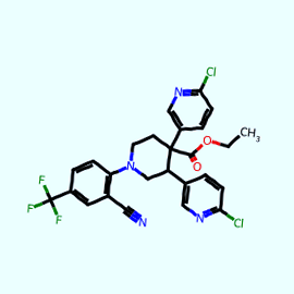 CCOC(=O)C1(c2ccc(Cl)nc2)CCN(c2ccc(C(F)(F)F)cc2C#N)CC1c1ccc(Cl)nc1